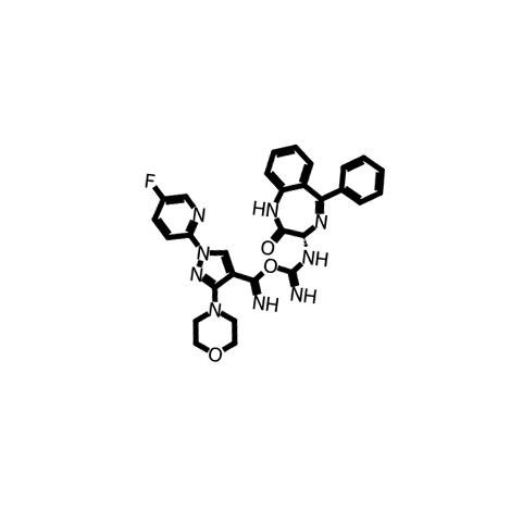 N=C(N[C@H]1N=C(c2ccccc2)c2ccccc2NC1=O)OC(=N)c1cn(-c2ccc(F)cn2)nc1N1CCOCC1